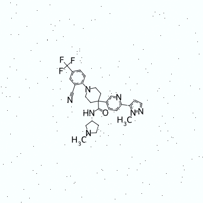 CN1CC[C@@H](NC(=O)C2(c3ccc(-c4ccnn4C)nc3)CCN(c3ccc(C(F)(F)F)cc3C#N)CC2)C1